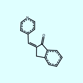 O=C1C(=Cc2ccncc2)Cc2ccccc21